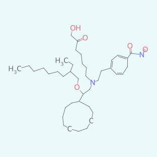 CCCCCCCC(CC)COC(CN(CCCCCC(=O)CO)CCC1=CC=C(C(=O)N=O)CC=C1)C1CCCCCCCCCC1